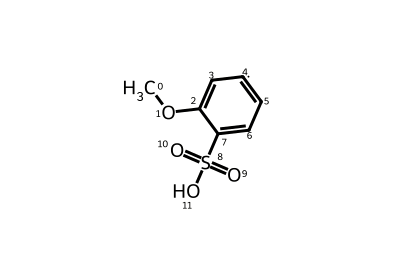 COc1c[c]ccc1S(=O)(=O)O